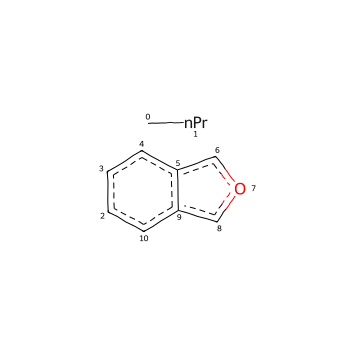 CCCC.c1ccc2cocc2c1